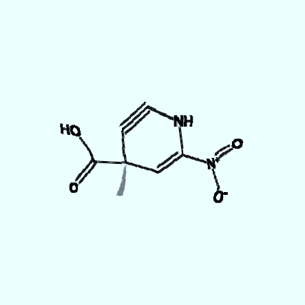 C[C@]1(C(=O)O)C#CNC([N+](=O)[O-])=C1